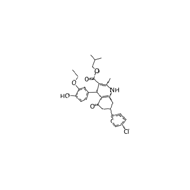 CCOc1cc(C2C(C(=O)OCC(C)C)=C(C)NC3=C2C(=O)CC(c2ccc(Cl)cc2)C3)ccc1O